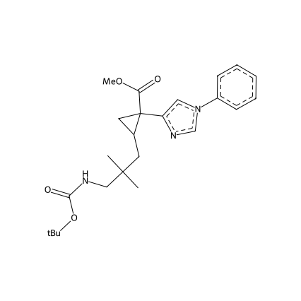 COC(=O)C1(c2cn(-c3ccccc3)cn2)CC1CC(C)(C)CNC(=O)OC(C)(C)C